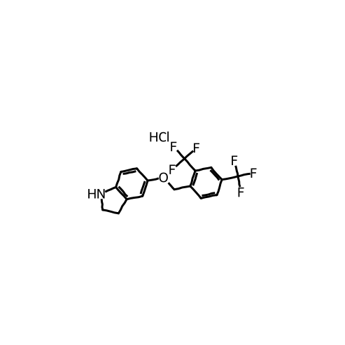 Cl.FC(F)(F)c1ccc(COc2ccc3c(c2)CCN3)c(C(F)(F)F)c1